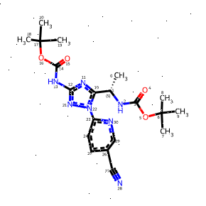 C[C@H](NC(=O)OC(C)(C)C)c1nc(NC(=O)OC(C)(C)C)nn1-c1ccc(C#N)cn1